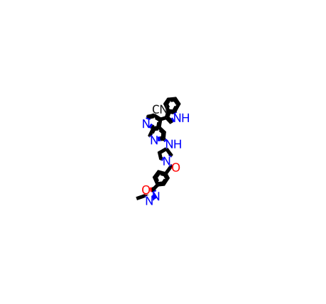 Cc1nnc(-c2ccc(C(=O)N3CCC(Nc4cc5c(-c6c[nH]c7ccccc67)c(C#N)cnc5cn4)C3)cc2)o1